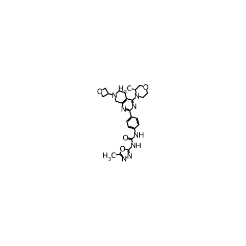 Cc1nnc(NC(=O)Nc2ccc(-c3nc4c(c(N5CCOC[C@@H]5C)n3)CCN(C3COC3)C4)cc2)o1